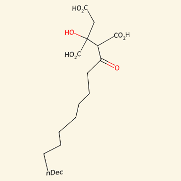 CCCCCCCCCCCCCCCCCC(=O)C(C(=O)O)C(O)(CC(=O)O)C(=O)O